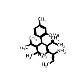 C=C(C)C(=C(C)C)C(/C(C(=C)C)=C(C)/C(N)=C\C)c1ccc(C)cc1OC